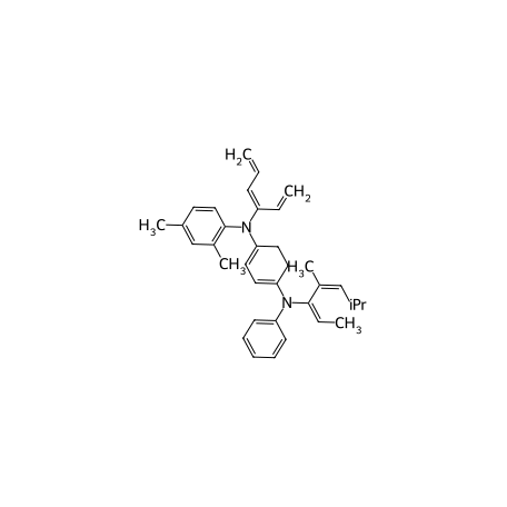 C=C/C=C(\C=C)N(C1=CC=C(N(C(=C/C)/C(C)=C\C(C)C)c2ccccc2)CC1)c1ccc(C)cc1C